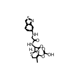 CC1=C(OC(=O)O)N2C(=O)C(NC(=O)CNc3ccc4csnc4c3)[C@@H]2SC1